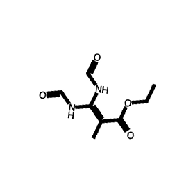 CCOC(=O)C(C)=C(NC=O)NC=O